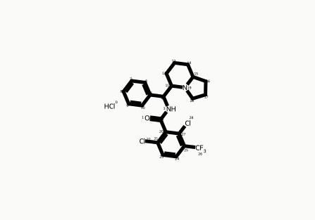 Cl.O=C(NC(c1ccccc1)C1CCCC2CCCN21)c1c(Cl)ccc(C(F)(F)F)c1Cl